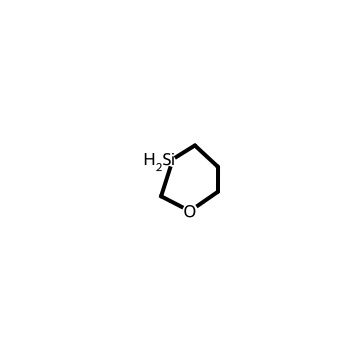 C1COC[SiH2]C1